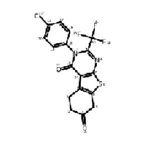 O=C1CCc2c(sc3nc(C(F)(F)F)n(-c4ccc(Cl)cc4)c(=O)c23)C1